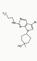 CC1(O)CCC(n2cc(Br)c3cnc(NCCC(F)(F)F)nc32)CC1